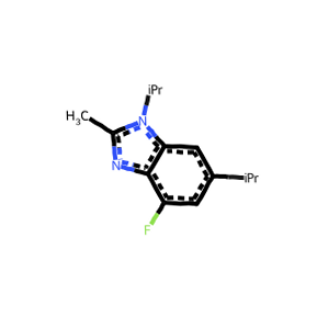 Cc1nc2c(F)cc(C(C)C)cc2n1C(C)C